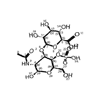 CC(=O)N[C@@H]1[C@@H](O[C@@H]2O[C@H](C(=O)O)[C@@H](O)[C@H](O)[C@H]2O)[C@@H](OS(=O)(=O)O)[C@@H](CO)O[C@H]1O